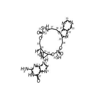 Nc1nc2c(ncn2[C@@H]2O[C@@H]3COP(=O)(S)NCCn4c(nc5cncnc54)COP(=O)(S)O[C@@H]2[C@@H]3F)c(=O)[nH]1